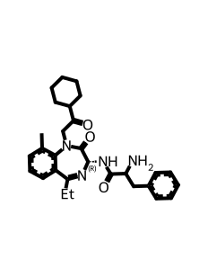 CCC1=N[C@@H](NC(=O)C(N)Cc2ccccc2)C(=O)N(CC(=O)C2CCCCC2)c2c(C)cccc21